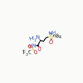 CCCCS(=N)(=O)CC[C@H](N)C(=O)NS(=O)(=O)C(F)(F)F